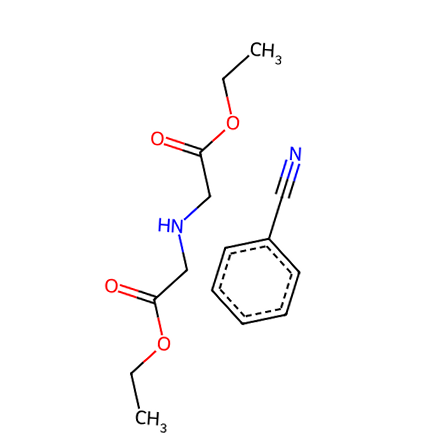 CCOC(=O)CNCC(=O)OCC.N#Cc1ccccc1